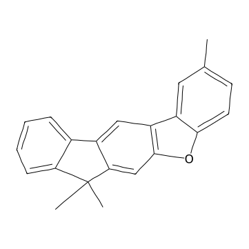 Cc1ccc2oc3cc4c(cc3c2c1)-c1ccccc1C4(C)C